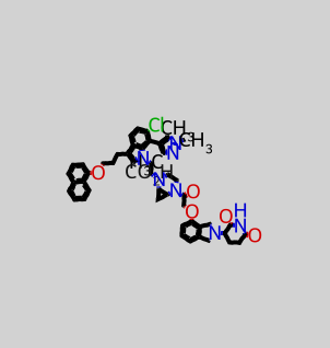 Cc1nn(C)c(C)c1-c1c(Cl)ccc2c(CCCOc3cccc4ccccc34)c(C(=O)O)n(CCN3CCN(C(=O)COc4cccc5c4CN(C4CCC(=O)NC4=O)C5)C4CC43)c12